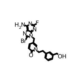 Nc1nc(F)nc2c1nc(Br)n2Cc1ccc(=O)n(CCc2cccc(CO)c2)c1